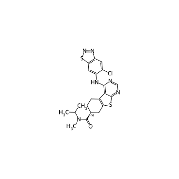 CC(C)N(C)C(=O)[C@H]1CCc2c(sc3ncnc(Nc4cc5snnc5cc4Cl)c23)C1